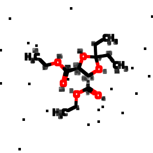 CCOC(=O)[C@H]1OC(CC)(CC)O[C@@H]1C(=O)OCC